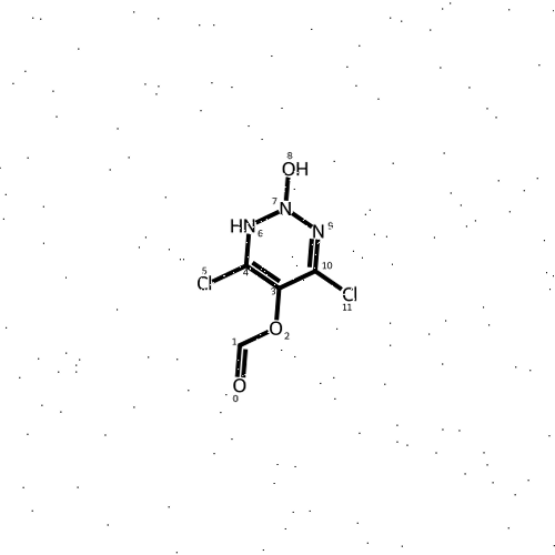 O=COC1=C(Cl)NN(O)N=C1Cl